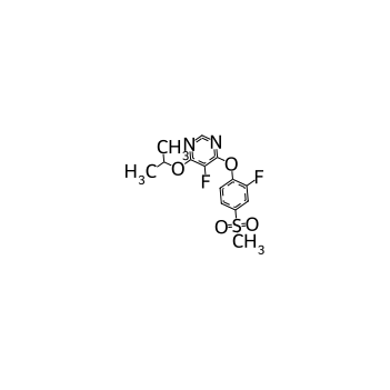 CC(C)Oc1ncnc(Oc2ccc(S(C)(=O)=O)cc2F)c1F